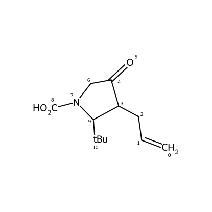 C=CCC1C(=O)CN(C(=O)O)C1C(C)(C)C